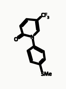 CSc1ccc(-n2cc(C(F)(F)F)ccc2=O)cc1